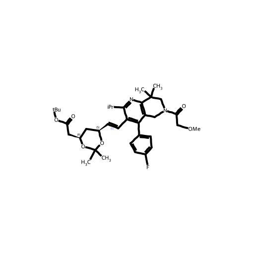 COCC(=O)N1Cc2c(nc(C(C)C)c(/C=C/[C@@H]3C[C@H](CC(=O)OC(C)(C)C)OC(C)(C)O3)c2-c2ccc(F)cc2)C(C)(C)C1